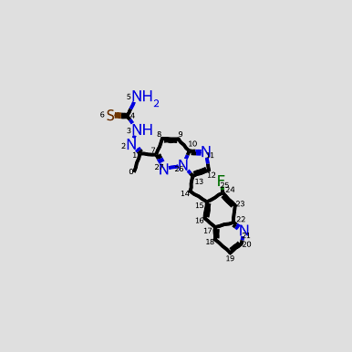 C/C(=N/NC(N)=S)c1ccc2ncc(Cc3cc4cccnc4cc3F)n2n1